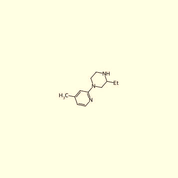 CCC1CN(c2cc(C)ccn2)CCN1